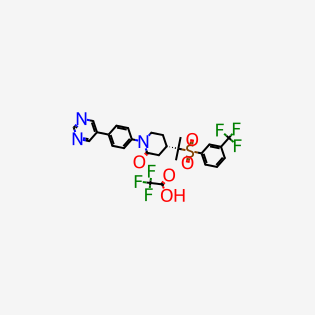 CC(C)([C@H]1CCN(c2ccc(-c3cncnc3)cc2)C(=O)C1)S(=O)(=O)c1cccc(C(F)(F)F)c1.O=C(O)C(F)(F)F